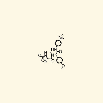 COc1ccc(C(C(=O)Nc2ccc([Si](C)(C)C)cc2)N(C)C(=O)c2noc(=O)[nH]2)cc1